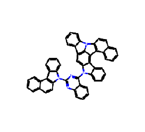 c1ccc2c(c1)ccc1c2c2ccccc2n1-c1nc(-n2c3ccccc3c3c4c5c6ccccc6ccc5n5c6ccccc6c(cc32)c45)c2ccccc2n1